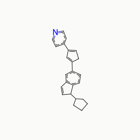 C1=CC(C2CCCC2)c2ccc(C3=CC(c4ccncc4)=CC3)cc21